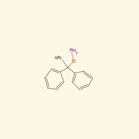 CCCC(OP)(c1ccccc1)c1ccccc1